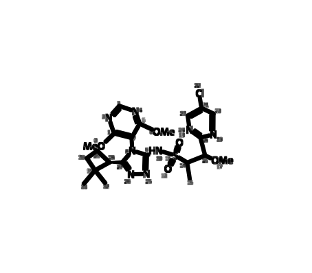 COc1ncnc(OC)c1-n1c(NS(=O)(=O)C(C)C(OC)c2ncc(Cl)cn2)nnc1[C@@H]1CCC1(C)C